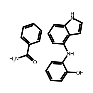 NC(=O)c1ccccc1.Oc1ccccc1Nc1cccc2[nH]ccc12